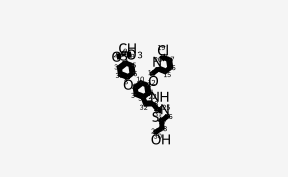 CS(=O)(=O)c1ccc(Oc2cc(OCc3cccc(Cl)n3)c3[nH]c(C4=NCC(CCO)S4)cc3c2)cc1